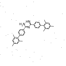 Cc1cc(C)c(-c2ccc(C(=N)/N=C(\N)c3ccc(-c4c(C)cc(C)cc4C)cc3)cc2)c(C)c1